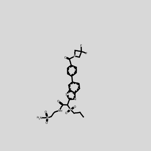 CCCS(=O)(=O)C(C(=O)NCCS(N)(=O)=O)c1nc2ccc(-c3ccc(C(=O)N4CC(F)(F)C4)cc3)cc2s1